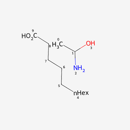 CC(N)O.CCCCCCCCCCC(=O)O